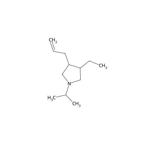 C=CCC1CN(C(C)C)CC1CC